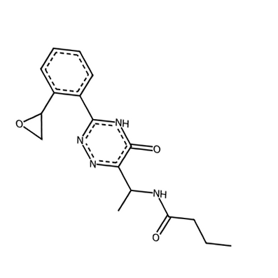 CCCC(=O)NC(C)c1nnc(-c2ccccc2C2CO2)[nH]c1=O